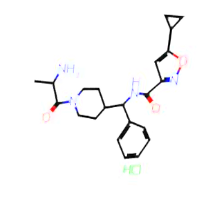 CC(N)C(=O)N1CCC(C(NC(=O)c2cc(C3CC3)on2)c2ccccc2)CC1.Cl